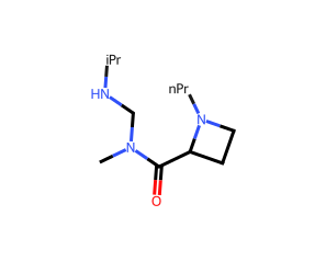 CCCN1CCC1C(=O)N(C)CNC(C)C